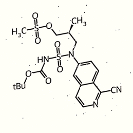 C[C@H](COS(C)(=O)=O)CN(c1ccc2c(C#N)nccc2c1)S(=O)(=O)NC(=O)OC(C)(C)C